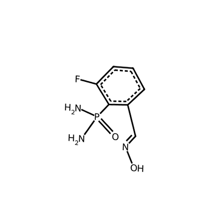 NP(N)(=O)c1c(F)cccc1C=NO